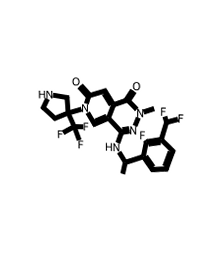 CC(Nc1nn(C)c(=O)c2cc(=O)n(C3(C(F)(F)F)CCNC3)cc12)c1cccc(C(F)F)c1F